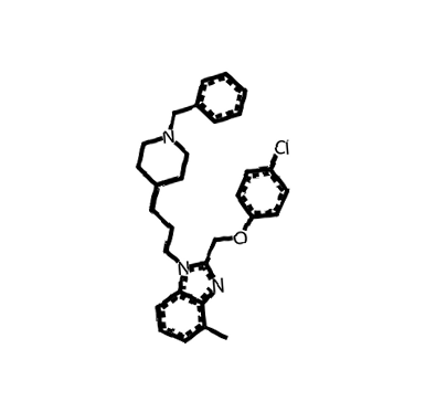 Cc1cccc2c1nc(COc1ccc(Cl)cc1)n2CCCC1CCN(Cc2ccccc2)CC1